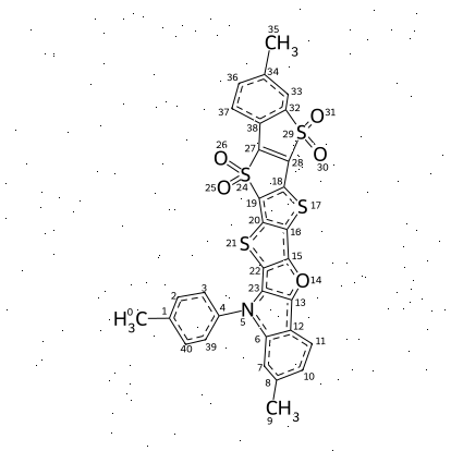 Cc1ccc(-n2c3cc(C)ccc3c3oc4c5sc6c(c5sc4c32)S(=O)(=O)C2=C6S(=O)(=O)c3cc(C)ccc32)cc1